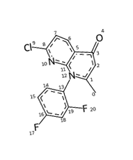 Cc1cc(=O)c2ccc(Cl)nc2n1-c1ccc(F)cc1F